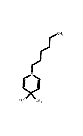 CCCCCCN1C=CC(C)(C)C=C1